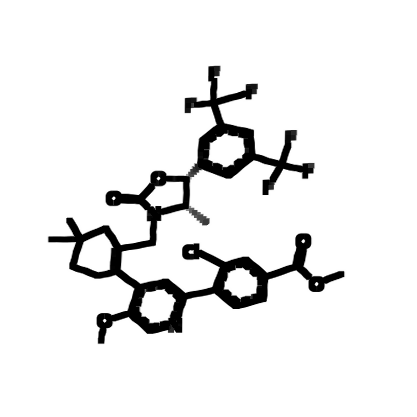 COC(=O)c1ccc(-c2cc(C3=C(CN4C(=O)O[C@H](c5cc(C(F)(F)F)cc(C(F)(F)F)c5)[C@@H]4C)CC(C)(C)CC3)c(OC)cn2)c(Cl)c1